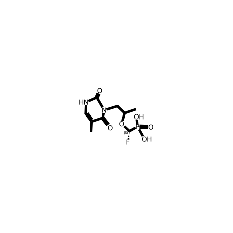 Cc1c[nH]c(=O)n(CC(C)O[C@@H](F)P(=O)(O)O)c1=O